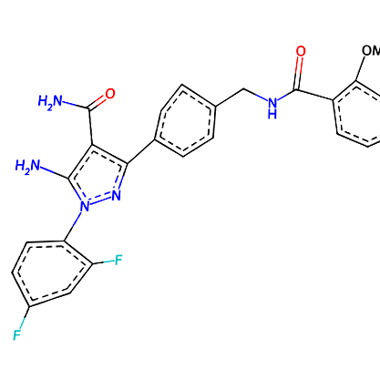 COc1ccccc1C(=O)NCc1ccc(-c2nn(-c3ccc(F)cc3F)c(N)c2C(N)=O)cc1